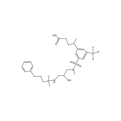 CC(CCC(=O)O)c1cc(C(F)(F)F)cc(S(=O)(=O)N(C)CC(O)CNC(C)(C)CCCc2ccccc2)c1